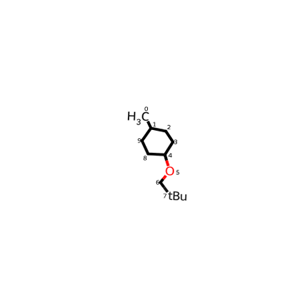 CC1CCC(OCC(C)(C)C)CC1